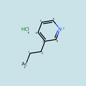 CC(=O)CCc1cccnc1.Cl